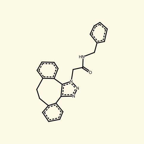 O=C(Cn1nnc2c1-c1ccccc1CCc1ccccc1-2)NCc1ccccc1